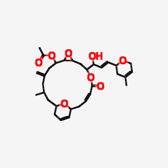 C=C1CC(C)CC2CC=CC(CC=CC(=O)OC(C(O)C=CC3CC(C)=CCO3)CC3OC3C(OC(C)=O)C1)O2